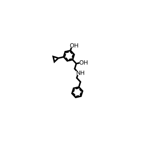 Oc1cc(C(O)CNCCc2ccccc2)cc(C2CC2)c1